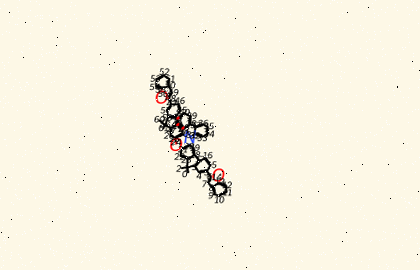 CC1(C)c2cc(-c3cc4ccccc4o3)ccc2-c2cc3c(cc21)Oc1cc2c(cc1N3c1ccccc1-c1ccccc1)-c1ccc(-c3cc4ccccc4o3)cc1C2(C)C